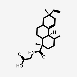 C=C[C@]1(C)CC=C2C(CCC3[C@@H]2C(C)CC[C@]3(C)C(=O)NCC(=O)O)C1